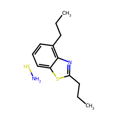 CCCc1nc2c(CCC)cccc2s1.NS